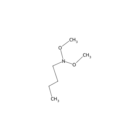 CCCCN(OC)OC